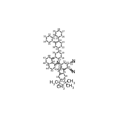 CC1(C)CC(C)(C)c2cc3c(cc21)sc1c(N(c2ccc(-c4ccc(-c5ccccc5-c5ccccc5)cc4)cc2)c2cccc4ccccc24)cc(C#N)c(C#N)c13